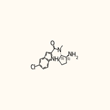 CN(C(=O)c1cc2cc(Cl)ccc2[nH]1)[C@H]1CCC[C@@H]1N